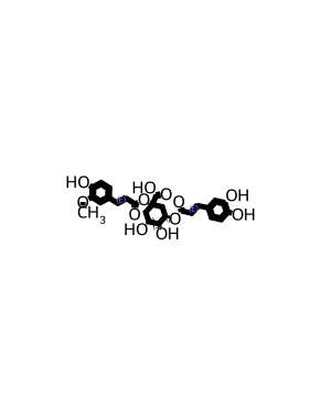 COc1cc(/C=C/C(=O)O[C@]2(C(=O)O)C[C@@H](O)[C@H](O)[C@H](OC(=O)/C=C/c3ccc(O)c(O)c3)C2)ccc1O